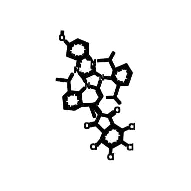 COc1ccc2nc3c(nc2c1)N(c1c(C(C)C)cccc1C(C)C)/C(=C\C=C1C(=O)c2c(Cl)c(Cl)c(Cl)c(Cl)c2C1=O)N3c1c(C(C)C)cccc1C(C)C